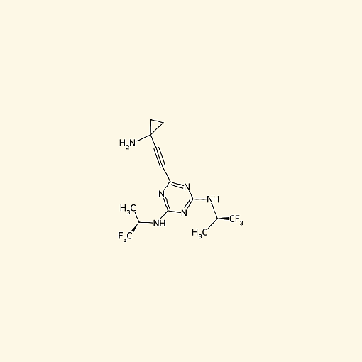 C[C@@H](Nc1nc(C#CC2(N)CC2)nc(N[C@H](C)C(F)(F)F)n1)C(F)(F)F